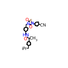 CC(C)Cc1ccc(C(C)C(=O)NCc2ccc(Cn3c(=O)sn(-c4ccc(C#N)cc4)c3=O)cc2)cc1